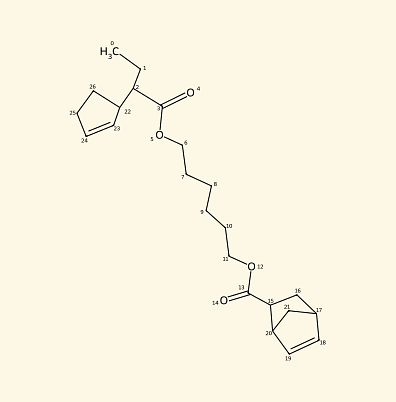 CCC(C(=O)OCCCCCCOC(=O)C1CC2C=CC1C2)C1C=CCC1